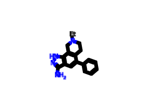 CCN1CCc2c(-c3ccccc3)cc3c(N)n[nH]c3c2C1